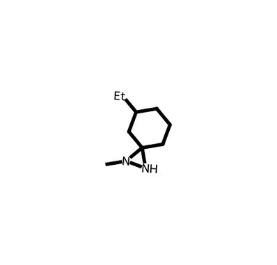 CCC1CCCC2(C1)NN2C